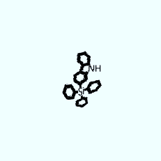 c1ccc([Si](c2ccccc2)(c2ccccc2)c2ccc3c(c2)[nH]c2ccccc23)cc1